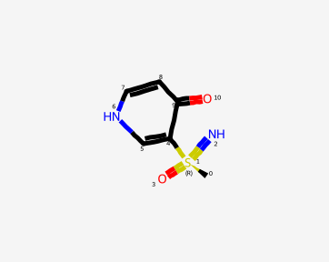 C[S@@](=N)(=O)c1c[nH]ccc1=O